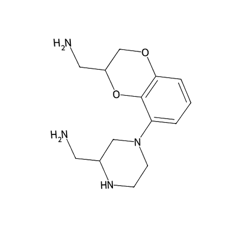 NCC1CN(c2cccc3c2OC(CN)CO3)CCN1